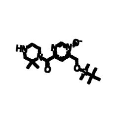 CC1(C)CNCCN1C(=O)c1cc(CO[Si](C)(C)C(C)(C)C)[n+]([O-])cn1